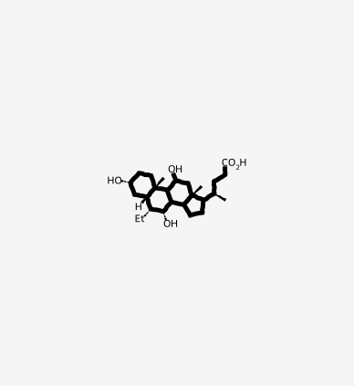 CC[C@H]1[C@@H](O)C2C3CCC([C@H](C)CCC(=O)O)[C@@]3(C)CC(O)C2[C@@]2(C)CC[C@@H](O)C[C@@H]12